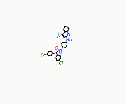 CN(C)c1cc(NC2CCC(NC(=O)C(c3ccc(Cl)cc3)c3ccc(Cl)cc3)CC2)nc2ccccc12